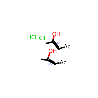 CC(=O)/C=C(/C)O.CC(=O)/C=C(/C)O.Cl.Cl